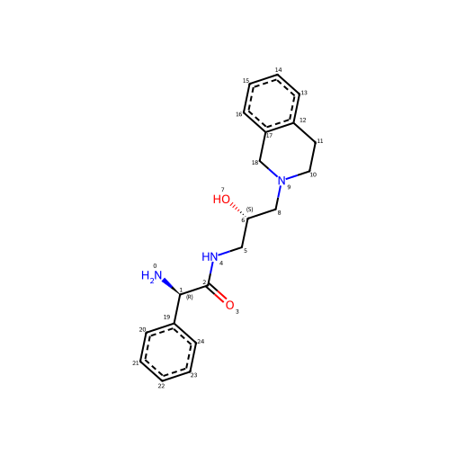 N[C@@H](C(=O)NC[C@H](O)CN1CCc2ccccc2C1)c1ccccc1